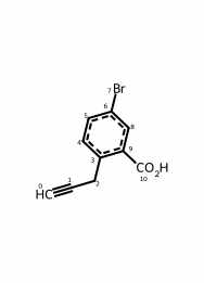 C#CCc1ccc(Br)cc1C(=O)O